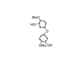 COc1ccc(Oc2ccc(OC)c(O)c2)cc1O